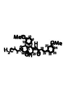 C=CCN1CC[C@@]2(c3cccc(OC)c3)C[C@@H](NC(=O)C=Cc3cccc(OC)c3)CC[C@]2(O)C1